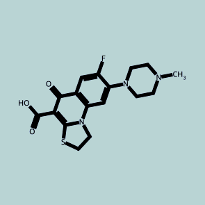 CN1CCN(c2cc3c(cc2F)c(=O)c(C(=O)O)c2n3CCS2)CC1